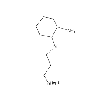 CCCCCCCCCCNC1CCCCC1N